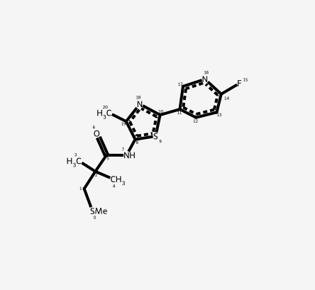 CSCC(C)(C)C(=O)Nc1sc(-c2ccc(F)nc2)nc1C